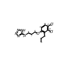 CCCc1c(OCCCSc2nnn[nH]2)ccc(Cl)c1Cl